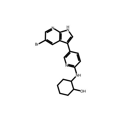 OC1CCCCC1Nc1ccc(-c2c[nH]c3ncc(Br)cc23)cn1